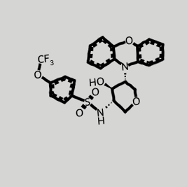 O=S(=O)(N[C@H]1COC[C@@H](N2c3ccccc3Oc3ccccc32)[C@@H]1O)c1ccc(OC(F)(F)F)cc1